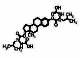 CC(C)C[C@H](NC(=O)O)C(=O)Oc1ccc2c(c1)CCC1C2CC[C@@]2(C)C1CC[C@@H]2OC(=O)[C@@H](CC(C)C)NC(=O)O